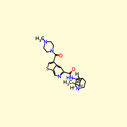 C[C@H]1[C@H](NC(=O)c2cc3c(C(=O)N4CCN(C)CC4)csc3cn2)C2CCN1CC2